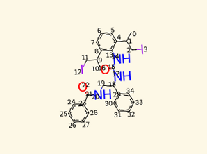 CC(CI)c1cccc(C(C)CI)c1NC(=O)NC(CNC(=O)c1ccccc1)c1ccccc1